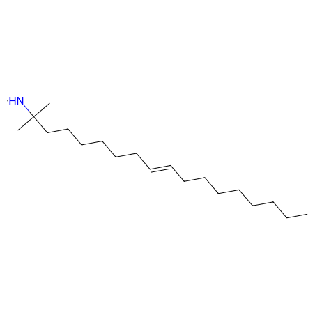 CCCCCCCCC=CCCCCCCC(C)(C)[NH]